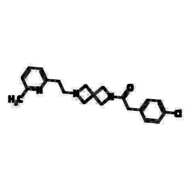 Cc1cccc(CCN2CC3(C2)CN(C(=O)Cc2ccc(Cl)cc2)C3)n1